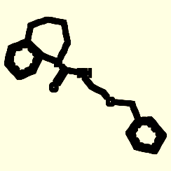 O=C(NCCOCc1ccccc1)N1CCCCc2ccccc21